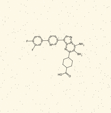 Bc1c(C2CCC(C(=O)O)CC2)nc2c(-c3ccc(-c4ccc(F)c(F)c4)nc3)cnn2c1N